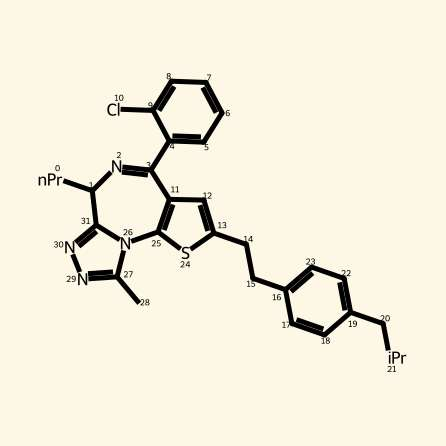 CCCC1N=C(c2ccccc2Cl)c2cc(CCc3ccc(CC(C)C)cc3)sc2-n2c(C)nnc21